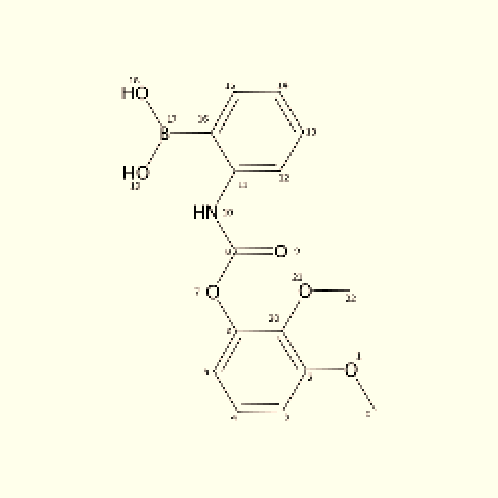 COc1cccc(OC(=O)Nc2ccccc2B(O)O)c1OC